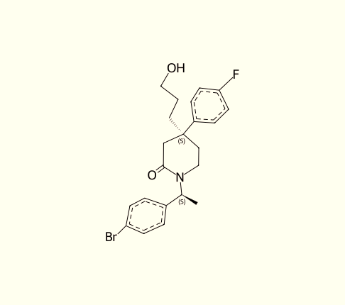 C[C@@H](c1ccc(Br)cc1)N1CC[C@](CCCO)(c2ccc(F)cc2)CC1=O